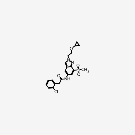 CS(=O)(=O)c1cc(NC(=O)Cc2ccccc2Cl)cc2cn(CCOC3CC3)nc12